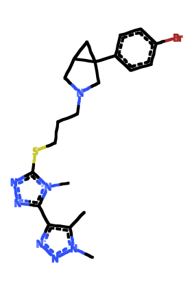 Cc1c(-c2nnc(SCCCN3CC4CC4(c4ccc(Br)cc4)C3)n2C)nnn1C